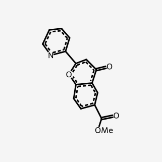 COC(=O)c1ccc2oc(-c3ccccn3)cc(=O)c2c1